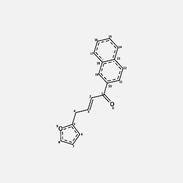 O=C(C=CCc1ccco1)c1ccc2ccccc2c1